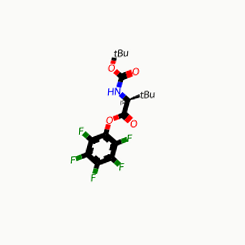 CC(C)(C)OC(=O)N[C@H](C(=O)Oc1c(F)c(F)c(F)c(F)c1F)C(C)(C)C